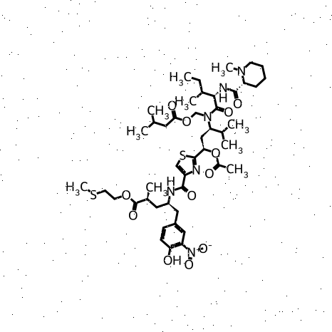 CCC(C)[C@H](NC(=O)[C@H]1CCCCN1C)C(=O)N(COC(=O)CC(C)C)[C@H](C[C@@H](OC(C)=O)c1nc(C(=O)N[C@@H](Cc2ccc(O)c([N+](=O)[O-])c2)C[C@H](C)C(=O)OCCSC)cs1)C(C)C